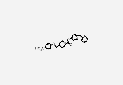 O=C(O)c1ccc(OCC2CCN(C(=O)Oc3ccc(Cc4ccccn4)cc3)CC2)cc1